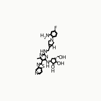 Cc1nc(NCC2C3CN(c4ccc(F)cc4N)C[C@@H]23)nc(N[C@@H]2C[C@H](CO)[C@@H](O)[C@H]2O)c1-c1nc2cnccc2s1